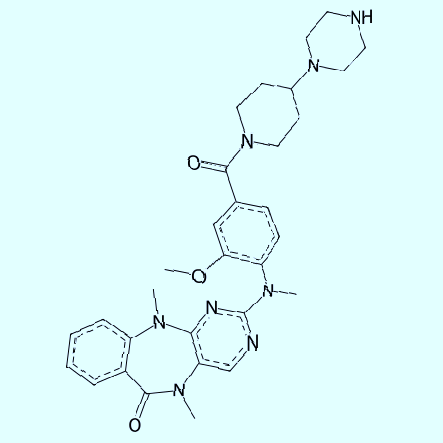 COc1cc(C(=O)N2CCC(N3CCNCC3)CC2)ccc1N(C)c1ncc2c(n1)N(C)c1ccccc1C(=O)N2C